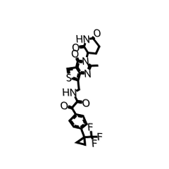 Cc1nc2c(CNC(=O)C(=O)c3ccc(C4(C(F)(F)F)CC4)cc3)scc2c(=O)n1C1CCC(=O)NC1=O